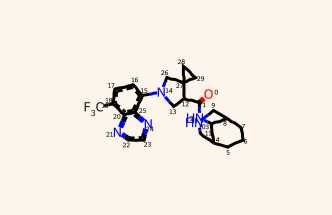 O=C(NC1C2CCCC1CNC2)C1CN(c2ccc(C(F)(F)F)c3nccnc23)CC12CC2